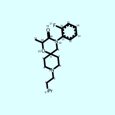 CC(C)CCN1CCC2(CC1)CN(c1ccccc1F)C(=O)C(C)O2